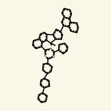 CC1(C)c2ccc(-c3cc4ccccc4c4ccccc34)cc2-c2ccc3cccc(-c4nc(-c5ccccc5)nc(-c5ccc(-c6ccc(-c7ccccc7)cc6)cc5)n4)c3c21